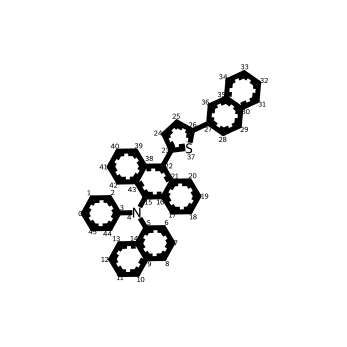 c1ccc(N(c2cccc3ccccc23)c2c3ccccc3c(-c3ccc(-c4ccc5ccccc5c4)s3)c3ccccc23)cc1